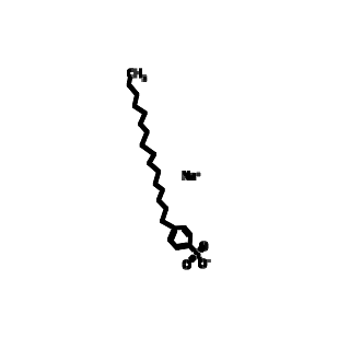 CCCCCCCCCCCCCCCCc1ccc(S(=O)(=O)[O-])cc1.[Na+]